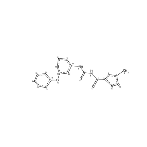 Cc1cc(C(=O)NC(=S)Nc2cccc(Oc3ccccc3)c2)no1